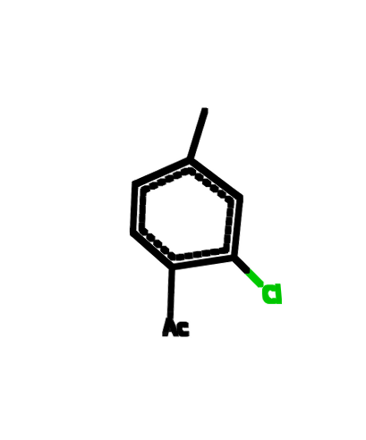 CC(=O)c1ccc(C)cc1Cl